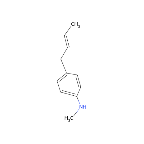 C/C=C/Cc1ccc(NC)cc1